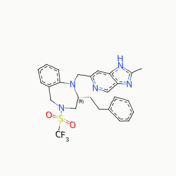 Cc1nc2cnc(CN3c4ccccc4CN(S(=O)(=O)C(F)(F)F)C[C@H]3CCc3ccccc3)cc2[nH]1